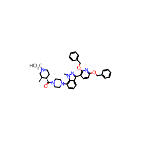 C[C@H]1CN(C(=O)O)CC[C@H]1C(=O)N1CCN(c2cccc3c(-c4ccc(OCc5ccccc5)nc4OCc4ccccc4)nn(C)c23)CC1